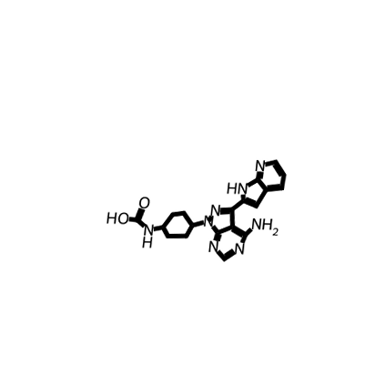 Nc1ncnc2c1c(-c1cc3cccnc3[nH]1)nn2C1CCC(NC(=O)O)CC1